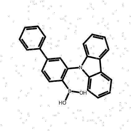 OB(O)c1ccc(-c2ccccc2)cc1-n1c2ccccc2c2ccccc21